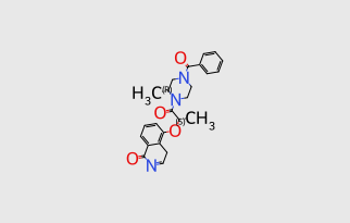 C[C@H](Oc1cccc2c1CC=NC2=O)C(=O)N1CCN(C(=O)c2ccccc2)C[C@H]1C